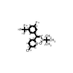 CC(C)(C)[S+]([O-])N=C(c1cc(F)cc(C(F)(F)F)c1)c1ccc(Cl)cn1